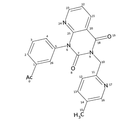 CC(=O)c1cccc(-n2c(=O)n(Cc3ccc(C)cn3)c(=O)c3cccnc32)c1